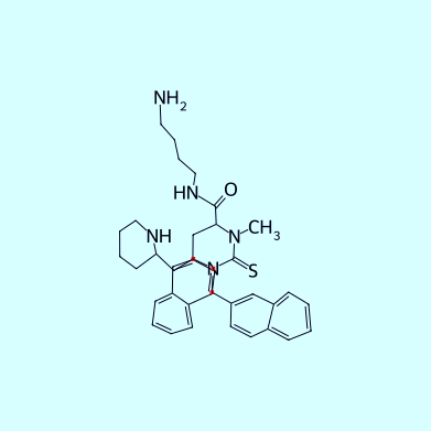 CN(C(=S)N(CCC1CCCCN1)Cc1ccc2ccccc2c1)C(Cc1ccc2ccccc2c1)C(=O)NCCCCN